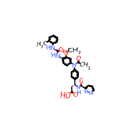 COc1cc(N(C(C)=O)c2ccc([C@@H](CC(=O)O)NC(=O)c3cccnn3)cc2)ccc1NC(=O)Nc1ccccc1C